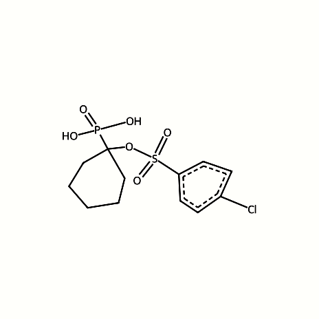 O=P(O)(O)C1(OS(=O)(=O)c2ccc(Cl)cc2)CCCCC1